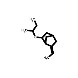 CC=C1CC2CC(OC(C)CC)C1C2